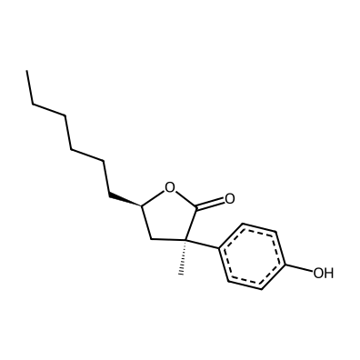 CCCCCC[C@@H]1C[C@](C)(c2ccc(O)cc2)C(=O)O1